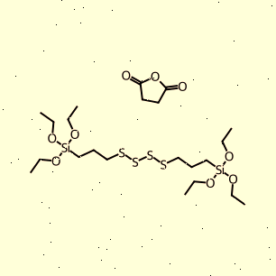 CCO[Si](CCCSSSSCCC[Si](OCC)(OCC)OCC)(OCC)OCC.O=C1CCC(=O)O1